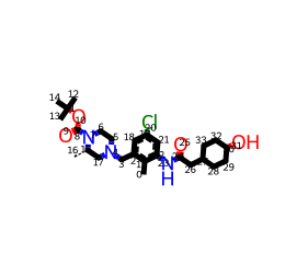 Cc1c(CN2CCN(C(=O)OC(C)(C)C)[C@@H](C)C2)cc(Cl)cc1NC(=O)CC1CCC(O)CC1